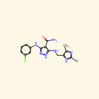 CCc1nc(C)c(CNc2[nH]nc(Nc3cccc(Cl)c3)c2C(N)=O)[nH]1